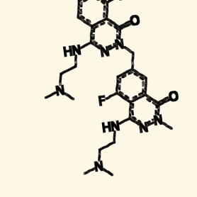 CN(C)CCNc1nn(Cc2cc(F)c3c(NCCN(C)C)nn(C)c(=O)c3c2)c(=O)c2c(F)cccc12